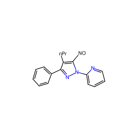 CCCc1c(-c2ccccc2)nn(-c2ccccn2)c1N=O